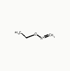 C=[N+]OCC